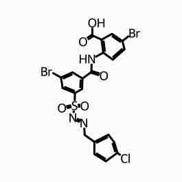 O=C(Nc1ccc(Br)cc1C(=O)O)c1cc(Br)cc(S(=O)(=O)N=NCc2ccc(Cl)cc2)c1